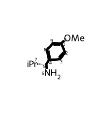 COc1ccc([C@H](N)C(C)C)cc1